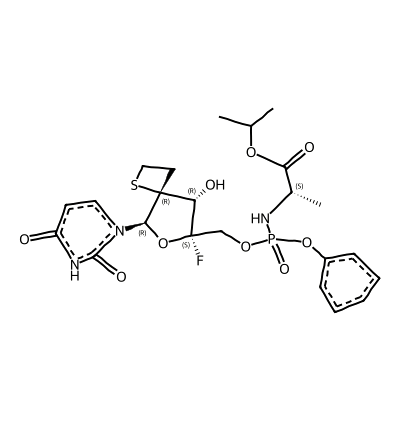 CC(C)OC(=O)[C@H](C)NP(=O)(OC[C@@]1(F)O[C@@H](n2ccc(=O)[nH]c2=O)[C@@]2(CCS2)[C@@H]1O)Oc1ccccc1